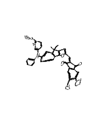 CC(C)(C)c1ccc(N(c2ccccc2)c2ccc3c(c2)C(C)(C)c2cc(C=C4C(=O)c5cc(Cl)c(Cl)cc5C4=O)oc2-3)cn1